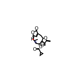 C=C1OC2CC3=C[C@@H](C/C(C)=C/[C@@H](OC(=O)C4CC4)[C@@H]2C1=C)OC3=O